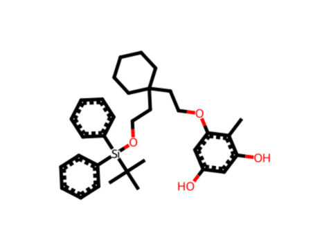 Cc1c(O)cc(O)cc1OCCC1(CCO[Si](c2ccccc2)(c2ccccc2)C(C)(C)C)CCCCC1